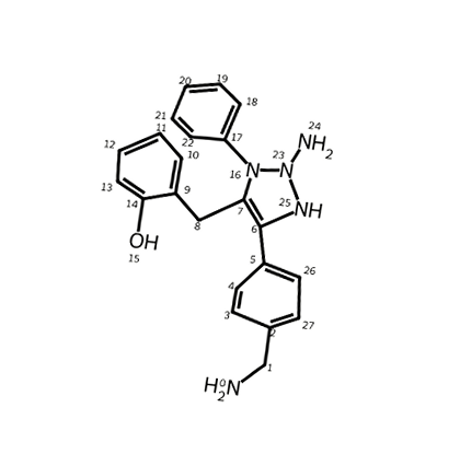 NCc1ccc(C2=C(Cc3ccccc3O)N(c3ccccc3)N(N)N2)cc1